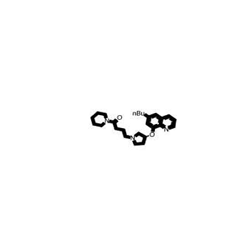 CCCCc1cc(O[C@@H]2CCN(CCCC(=O)N3CCCCC3)C2)c2ncccc2c1